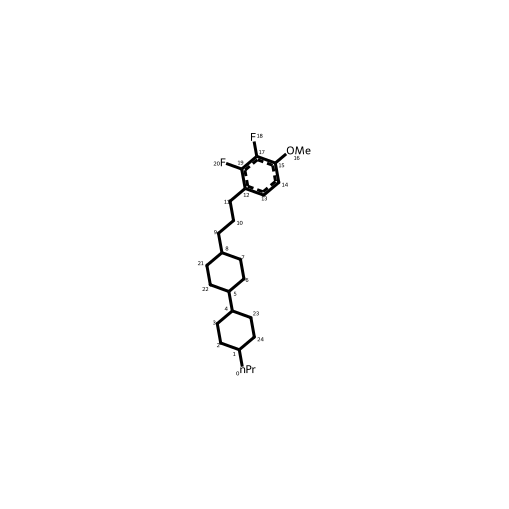 CCCC1CCC(C2CCC(CCCc3ccc(OC)c(F)c3F)CC2)CC1